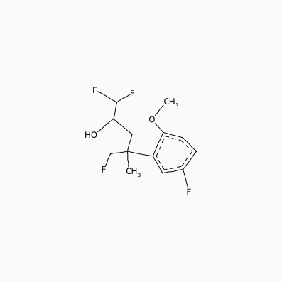 COc1ccc(F)cc1C(C)(CF)CC(O)C(F)F